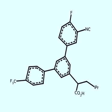 [C-]#[N+]c1cc(-c2cc(-c3ccc(C(F)(F)F)cc3)cc(C(CC(C)C)C(=O)O)c2)ccc1F